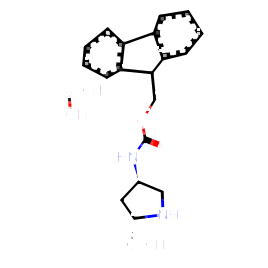 O=C(N[C@H]1CN[C@H](C(=O)O)C1)OCC1c2ccccc2-c2ccccc21.O=S(=O)(O)O